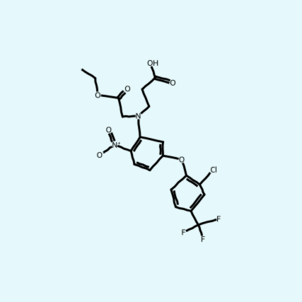 CCOC(=O)CN(CCC(=O)O)c1cc(Oc2ccc(C(F)(F)F)cc2Cl)ccc1[N+](=O)[O-]